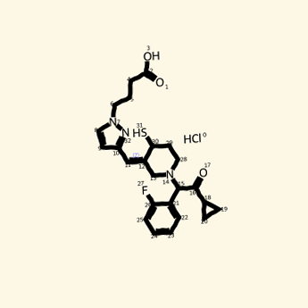 Cl.O=C(O)CCCn1ccc(/C=C2/CN(C(C(=O)C3CC3)c3ccccc3F)CCC2S)n1